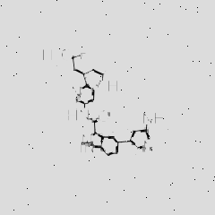 C=C(F)/C=C(\C=C/C)c1ccc(NC(=O)c2n[nH]c3ccc(-c4cncc(N)c4)cc23)cn1